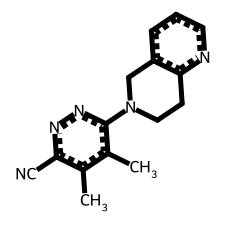 Cc1c(C#N)nnc(N2CCc3ncccc3C2)c1C